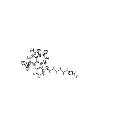 CCCCCCCSc1ccccc1C1=NCC(=O)N(C)c2ccc([N+](=O)[O-])cc21